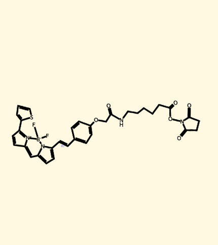 O=C(COc1ccc(/C=C/c2ccc3n2[B-](F)(F)[N+]2=C(c4cccs4)C=CC2=C3)cc1)NCCCCCC(=O)ON1C(=O)CCC1=O